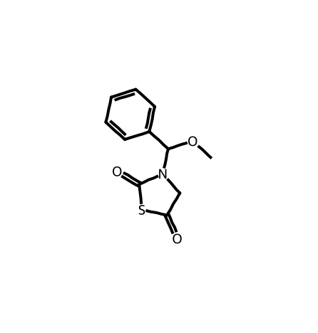 COC(c1ccccc1)N1CC(=O)SC1=O